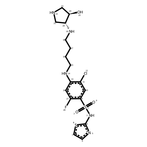 O=S(=O)(Nc1nccs1)c1cc(Cl)c(NCCCCN[C@@H]2CNC[C@H]2O)cc1F